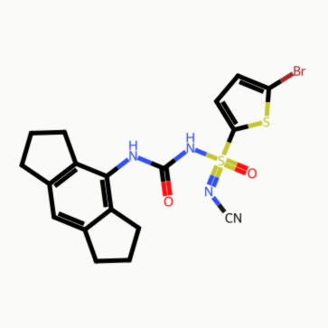 N#CN=S(=O)(NC(=O)Nc1c2c(cc3c1CCC3)CCC2)c1ccc(Br)s1